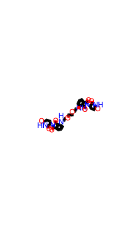 O=C1CCC(N2C(=O)c3cccc(NCCOCCOCCNc4cccc5c4C(=O)N(C4CCC(=O)NC4=O)C5=O)c3C2=O)C(=O)N1